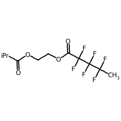 CC(C)C(=O)OCCOC(=O)C(F)(F)C(F)(F)C(C)(F)F